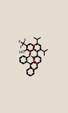 COc1ccc2ccccc2c1-c1ccccc1P(c1cccc(C(F)(F)F)c1O)c1c(C)cccc1-c1c(C(C)C)cc(C(C)C)cc1C(C)C